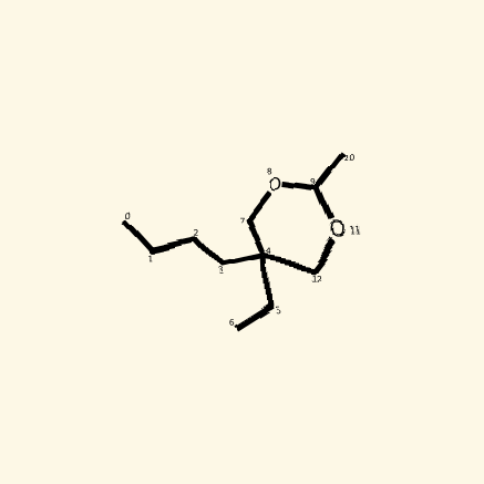 CCCCC1(CC)COC(C)OC1